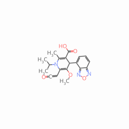 COC1=C(C=C=O)N(C(C)C)C(C)=C(C(=O)O)C1c1cccc2nonc12